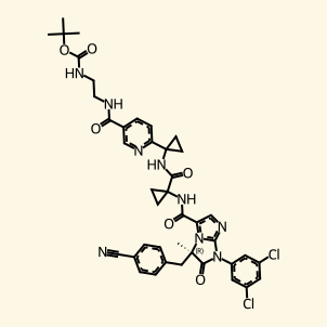 CC(C)(C)OC(=O)NCCNC(=O)c1ccc(C2(NC(=O)C3(NC(=O)c4cnc5n4[C@](C)(Cc4ccc(C#N)cc4)C(=O)N5c4cc(Cl)cc(Cl)c4)CC3)CC2)nc1